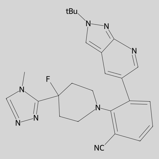 Cn1cnnc1C1(F)CCN(c2c(C#N)cccc2-c2cnc3nn(C(C)(C)C)cc3c2)CC1